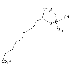 CP(=O)(O)OC(CCCCCCCC(=O)O)C(=O)O